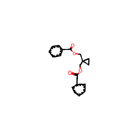 O=C(OCC1(COC(=O)c2ccccc2)CC1)c1ccccc1